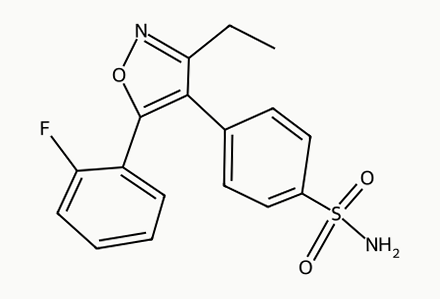 CCc1noc(-c2ccccc2F)c1-c1ccc(S(N)(=O)=O)cc1